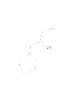 CC(C)C[C@H](N)CN1CC[CH]CC1